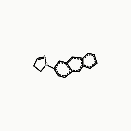 [c]1c(N2CCC=N2)ccc2cc3ccccc3cc12